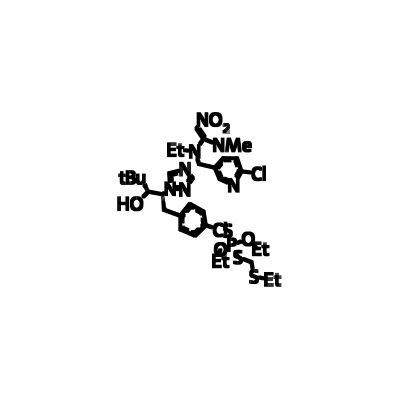 CC(C)(C)[C@H](O)[C@H](Cc1ccc(Cl)cc1)n1cncn1.CCN(Cc1ccc(Cl)nc1)/C(=C/[N+](=O)[O-])NC.CCOP(=S)(OCC)SCSCC